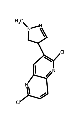 CN1CC(c2cc3nc(Cl)ccc3nc2Cl)C=N1